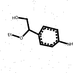 CCOC(CO)c1ccc(N)cc1